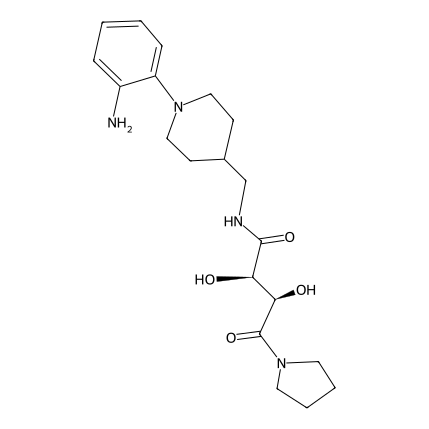 Nc1ccccc1N1CCC(CNC(=O)[C@H](O)[C@@H](O)C(=O)N2CCCC2)CC1